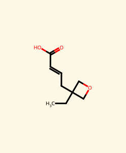 CCC1(CC=CC(=O)O)COC1